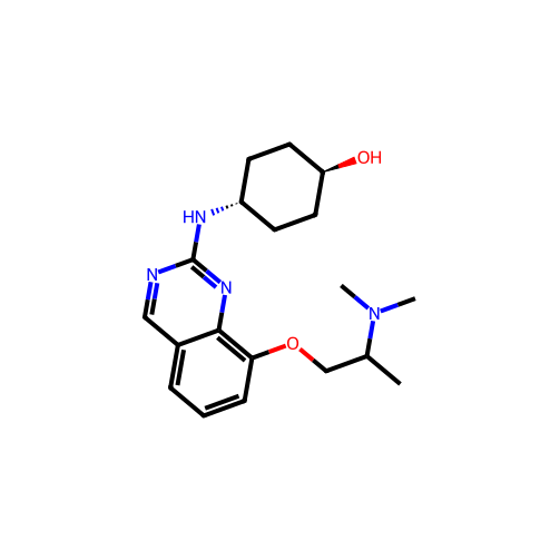 CC(COc1cccc2cnc(N[C@H]3CC[C@H](O)CC3)nc12)N(C)C